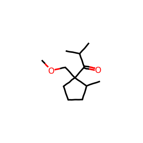 COCC1(C(=O)C(C)C)CCCC1C